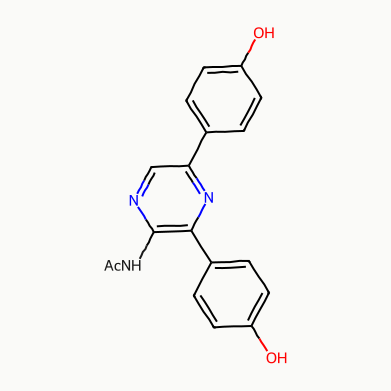 CC(=O)Nc1ncc(-c2ccc(O)cc2)nc1-c1ccc(O)cc1